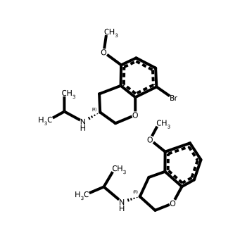 COc1ccc(Br)c2c1C[C@@H](NC(C)C)CO2.COc1cccc2c1C[C@@H](NC(C)C)CO2